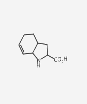 O=C(O)C1CC2CCC=CC2N1